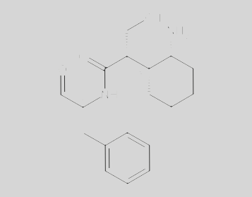 CC[C@@H](C(=O)N[C@@H](C=O)Cc1ccccc1)[C@H]1CCCC[C@H]1N